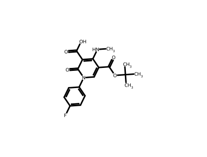 CNc1c(C(=O)OC(C)(C)C)cn(-c2ccc(F)cc2)c(=O)c1C(=O)O